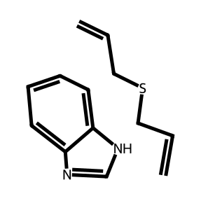 C=CCSCC=C.c1ccc2[nH]cnc2c1